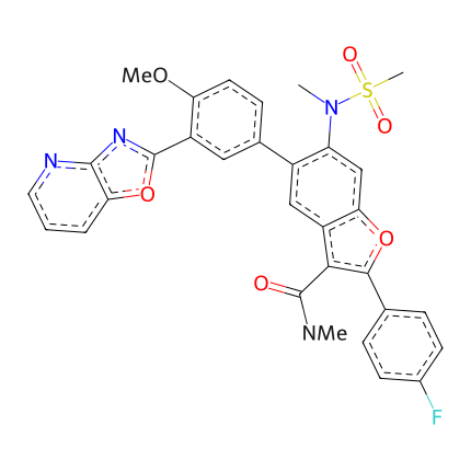 CNC(=O)c1c(-c2ccc(F)cc2)oc2cc(N(C)S(C)(=O)=O)c(-c3ccc(OC)c(-c4nc5ncccc5o4)c3)cc12